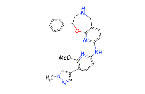 COc1nc(Nc2ccc3c(n2)OC(c2ccccc2)CNC3)ccc1-c1cnn(C)c1